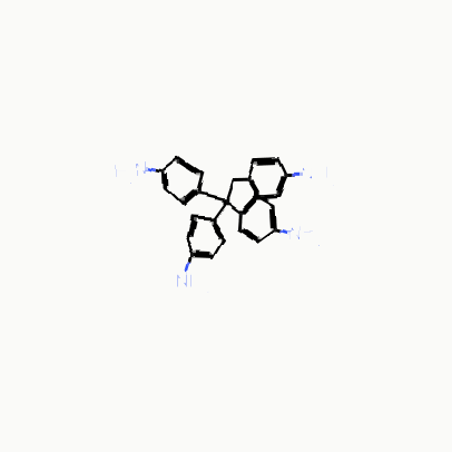 Nc1ccc(CC(c2ccc(N)cc2)(c2ccc(N)cc2)c2ccc(N)cc2)cc1